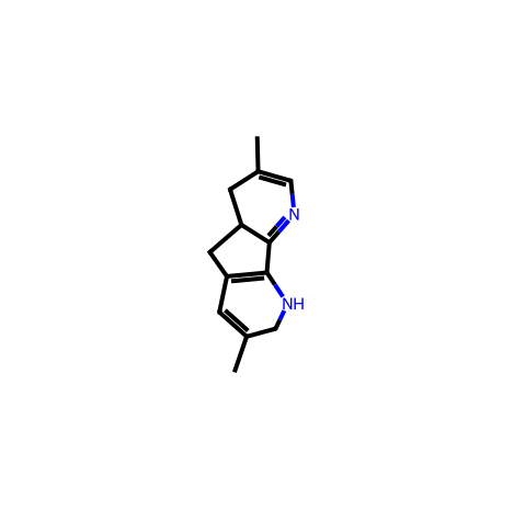 CC1=CC2=C(NC1)C1=NC=C(C)CC1C2